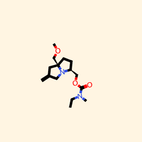 C=C1CN2[C@H](COC(=O)N(C)CC)CC[C@@]2(COC)C1